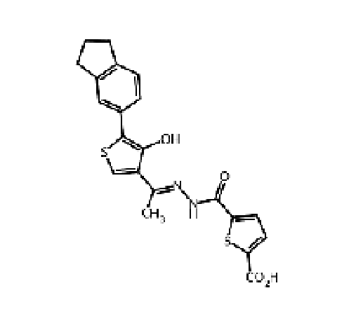 CC(=NNC(=O)c1ccc(C(=O)O)s1)c1csc(-c2ccc3c(c2)CCC3)c1O